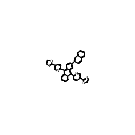 c1ccc2cc(-c3ccc4c(-c5ccc(-c6ncco6)cn5)c5ccccc5c(-c5ccc(-c6ncco6)cn5)c4c3)ccc2c1